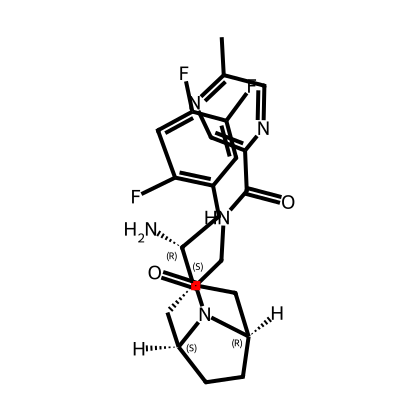 Cc1cnc(C(=O)NCC(=O)N2[C@@H]3CC[C@H]2C[C@H]([C@H](N)Cc2cc(F)c(F)cc2F)C3)cn1